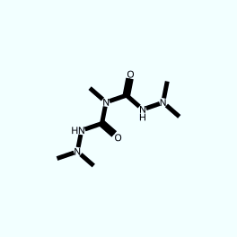 CN(C)NC(=O)N(C)C(=O)NN(C)C